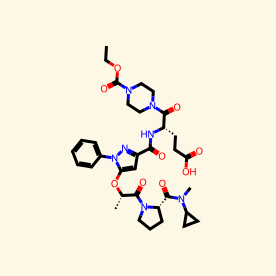 CCOC(=O)N1CCN(C(=O)[C@H](CCC(=O)O)NC(=O)c2cc(O[C@@H](C)C(=O)N3CCC[C@H]3C(=O)N(C)C3CC3)n(-c3ccccc3)n2)CC1